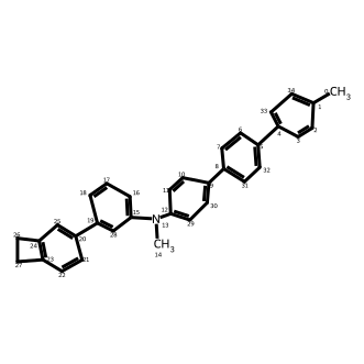 Cc1ccc(-c2ccc(-c3ccc(N(C)c4cccc(-c5ccc6c(c5)CC6)c4)cc3)cc2)cc1